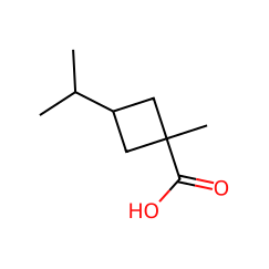 CC(C)C1CC(C)(C(=O)O)C1